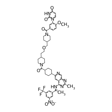 COc1ccc(C(=O)N2CCC(COCCC3CCN(C(=O)C4CCC(c5cc6c(N[C@H](C)c7cc([N+](=O)[O-])cc(C(F)(F)F)c7)nc(C)nc6cn5)CC4)CC3)CC2)cc1-n1ccc(=O)[nH]c1=O